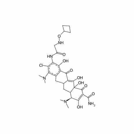 CN(C)c1c(Cl)c(NC(=O)CNOC2CCC2)c(O)c2c1CC1CC3[C@H](N(C)C)C(O)=C(C(N)=O)C(=O)C3(O)C(O)=C1C2=O